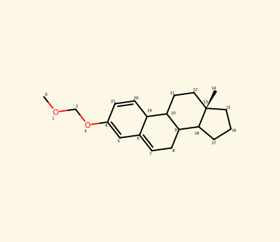 COCOC1=CC2=CCC3C(CC[C@]4(C)CCCC34)C2C=C1